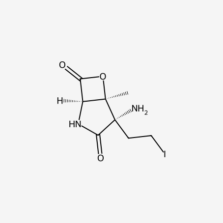 C[C@@]12OC(=O)[C@@H]1NC(=O)[C@]2(N)CCI